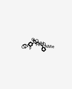 CNc1ccccc1C(=O)NNc1cn(-c2ccc(N3CCOCC3)c(F)c2)c(=O)o1